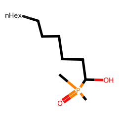 CCCCCCCCCCCC(O)P(C)(C)=O